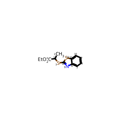 CCOC(=O)C(C)Sc1nc2ccccc2s1